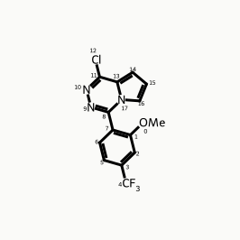 COc1cc(C(F)(F)F)ccc1-c1nnc(Cl)c2cccn12